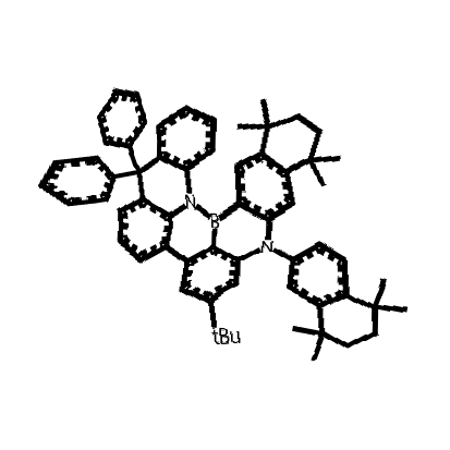 CC(C)(C)c1cc2c3c(c1)N(c1ccc4c(c1)C(C)(C)CCC4(C)C)c1cc4c(cc1B3N1c3ccccc3C(c3ccccc3)(c3ccccc3)c3cccc-2c31)C(C)(C)CCC4(C)C